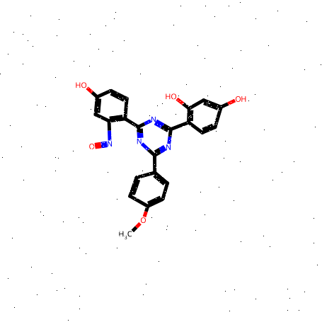 COc1ccc(-c2nc(-c3ccc(O)cc3O)nc(-c3ccc(O)cc3N=O)n2)cc1